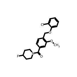 COc1cc(C(=O)N2CCC(F)CC2)ccc1COc1ccccc1Cl